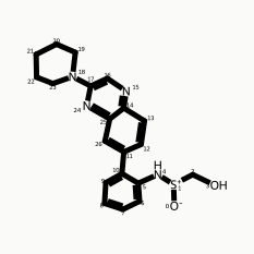 [O-][S+](CO)Nc1ccccc1-c1ccc2ncc(N3CCCCC3)nc2c1